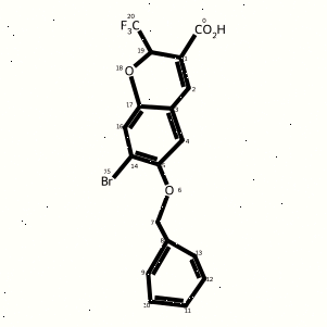 O=C(O)C1=Cc2cc(OCc3ccccc3)c(Br)cc2OC1C(F)(F)F